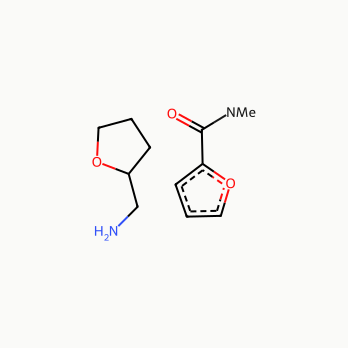 CNC(=O)c1ccco1.NCC1CCCO1